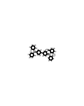 Clc1ccccc1N(c1ccc(-c2ccc(N(c3ccccc3)c3ccccc3)cc2)cc1)c1ccccc1Cl